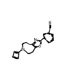 N#Cc1cccc(-c2nc3c(s2)CCN(C2=CC=C2)CC3)c1